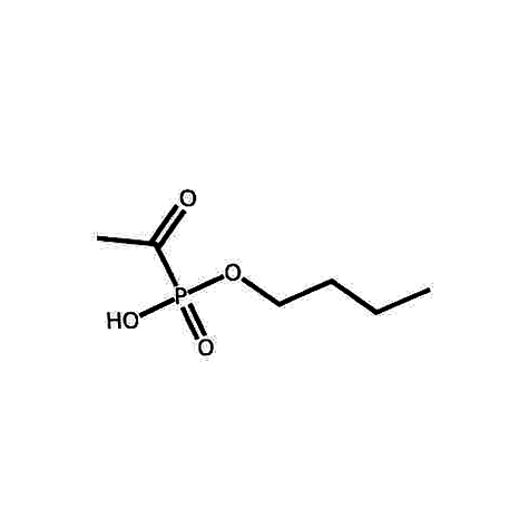 CCCCOP(=O)(O)C(C)=O